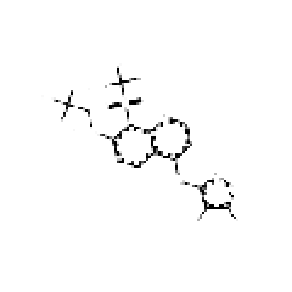 Cc1n[nH]c(Nc2ccnc3c(S(=O)(=O)C(C)(C)C)c(OCC(C)(C)O)ccc23)c1C